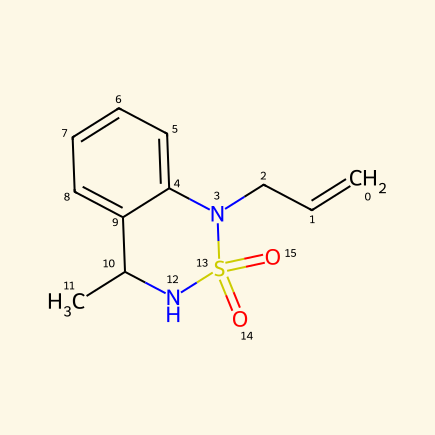 C=CCN1c2ccccc2C(C)NS1(=O)=O